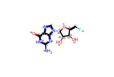 Nc1nc2c(ncn2[C@@H]2OC(=CF)[C@@H](O)[C@H]2O)c(=O)[nH]1